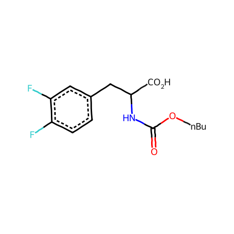 CCCCOC(=O)NC(Cc1ccc(F)c(F)c1)C(=O)O